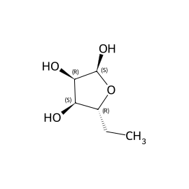 CC[C@H]1O[C@H](O)[C@H](O)[C@@H]1O